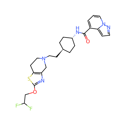 O=C(N[C@H]1CC[C@H](CCN2CCc3sc(OCC(F)F)nc3C2)CC1)c1cccn2nccc12